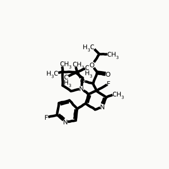 CC1=NCC(c2ccc(F)nc2)=C(N2CCC(C)(C)CC2)C1(F)C(OC(C)(C)C)C(=O)OC(C)C